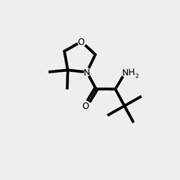 CC(C)(C)C(N)C(=O)N1COCC1(C)C